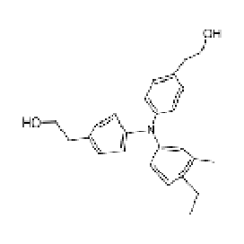 CCc1ccc(N(c2ccc(CCO)cc2)c2ccc(CCO)cc2)cc1C